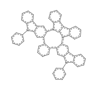 c1ccc(-n2c3ccccc3c3cc4c(cc32)c2ccccc2c2cc3c(cc2n2c5ccccc5c5c6ccccc6n4c52)c2ccccc2n3-c2ccccc2)cc1